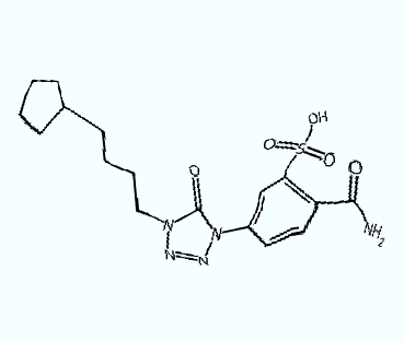 NC(=O)c1ccc(-n2nnn(CCCCC3CCCC3)c2=O)cc1S(=O)(=O)O